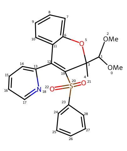 COC(OC)C1(C)Oc2ccccc2C(c2ccccn2)=C1S(=O)(=O)c1ccccc1